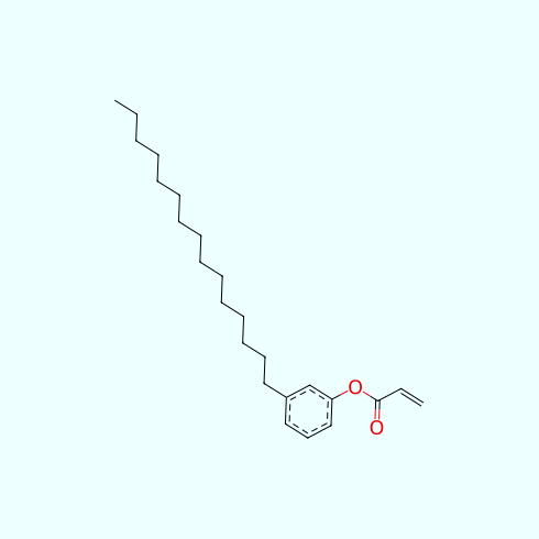 C=CC(=O)Oc1cccc(CCCCCCCCCCCCCCC)c1